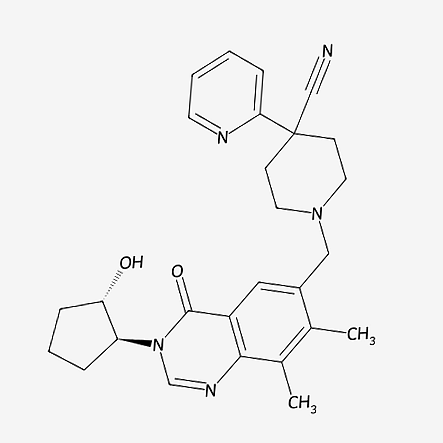 Cc1c(CN2CCC(C#N)(c3ccccn3)CC2)cc2c(=O)n([C@H]3CCC[C@@H]3O)cnc2c1C